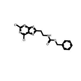 O=C(NCCc1nc2c(Cl)nc(Cl)nc2s1)OCc1ccccc1